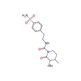 CCCCC1C(=O)N(C(=O)NCCc2ccc(S(N)(=O)=O)cc2)CCC1C